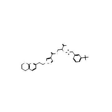 O=C(NCC(NS(=O)(=O)Cc1cccc(C(F)(F)F)c1)C(=O)O)c1cnn(CCc2ccc3c(n2)NCCC3)c1